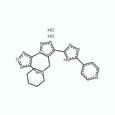 Cl.Cl.Nc1nonc1-n1nnc(-c2nnc(-c3ccncc3)[nH]2)c1CN1CCCCC1